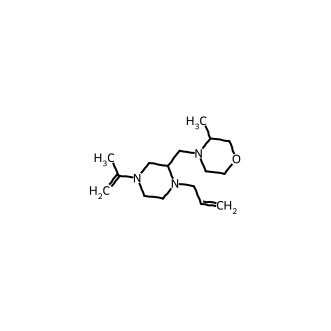 C=CCN1CCN(C(=C)C)CC1CN1CCOCC1C